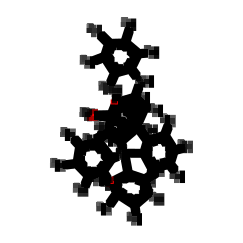 [2H]c1cc(Nc2c([2H])c([2H])c([2H])c([2H])c2[2H])c([2H])c(-c2c([2H])c([2H])c([2H])c([2H])c2[Si](c2c([2H])c([2H])c([2H])c([2H])c2[2H])(c2c([2H])c([2H])c([2H])c([2H])c2[2H])c2c([2H])c([2H])c([2H])c([2H])c2[2H])c1[2H]